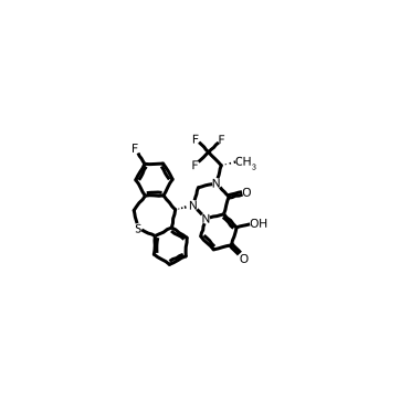 C[C@H](N1CN([C@H]2c3ccc(F)cc3CSc3ccccc32)n2ccc(=O)c(O)c2C1=O)C(F)(F)F